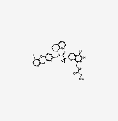 CC(C)(C)OC(=O)NCc1n[nH]c(=O)c2ccc(C3(C(=O)N(Cc4ccc(Oc5c(F)cccc5F)cn4)[C@@H]4CCCc5cccnc54)CC3)cc12